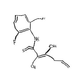 C=CCC(O)=C(C#N)C(=S)Nc1c(F)cccc1F